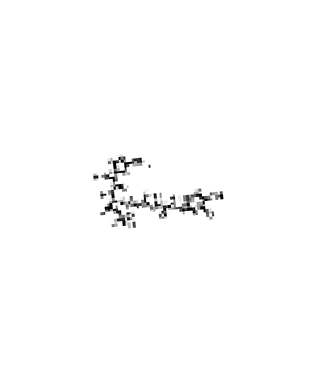 N=C(C(=O)N[C@@H]1C(=O)N(S(=O)(=O)O)[C@@H]1CNC(=O)CNC(=O)NCc1cc(=O)c(O)c[nH]1)c1csc(N)n1